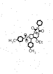 CCOC1=C2C(c3ccc(C)cc3)N(S(=O)(=O)c3ccc(C)cc3)CC2n2c(=O)n(-c3ccccc3)c(=O)n2C1